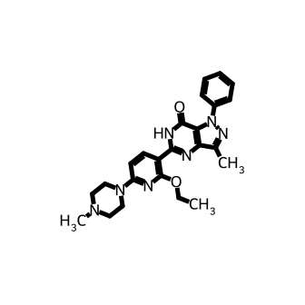 CCOc1nc(N2CCN(C)CC2)ccc1-c1nc2c(C)nn(-c3ccccc3)c2c(=O)[nH]1